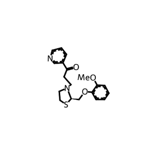 COc1ccccc1OC[C@H]1SCCN1CCC(=O)c1cccnc1